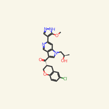 COc1[nH]ncc1-c1cc2c(cn1)c(C(=O)[C@H]1COc3ccc(Cl)cc3C1)cn2C[C@@H](C)O